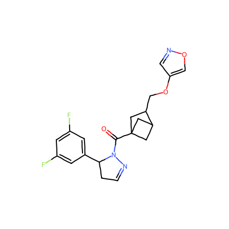 O=C(N1N=CCC1c1cc(F)cc(F)c1)C12CC(COc3cnoc3)C(C1)C2